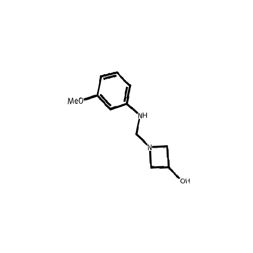 COc1cccc(NCN2CC(O)C2)c1